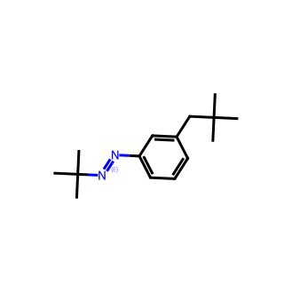 CC(C)(C)Cc1cccc(/N=N/C(C)(C)C)c1